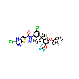 CC(C)Oc1cc(OC(F)(F)F)cc(C(C)(C)c2cc(Cl)cc(NC(=O)c3cc4nc(Cl)cnc4s3)c2)c1